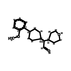 COc1ccccc1C1CCN([C@H](C=O)N2CCOCC2)CC1